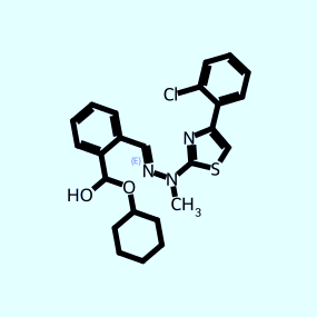 CN(/N=C/c1ccccc1C(O)OC1CCCCC1)c1nc(-c2ccccc2Cl)cs1